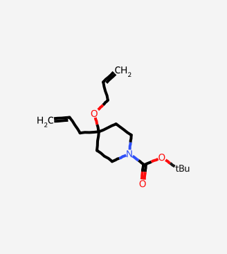 C=CCOC1(CC=C)CCN(C(=O)OC(C)(C)C)CC1